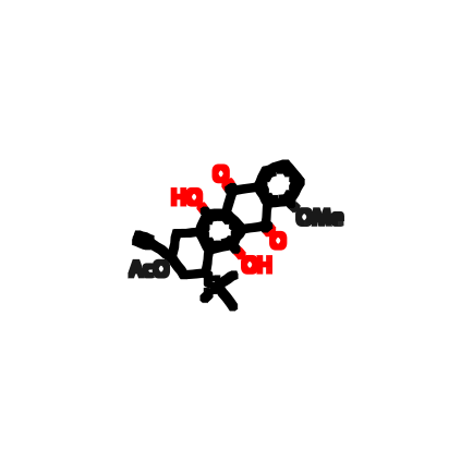 C#CC1(OC(C)=O)Cc2c(O)c3c(c(O)c2C([Si](C)(C)C)C1)C(=O)c1c(OC)cccc1C3=O